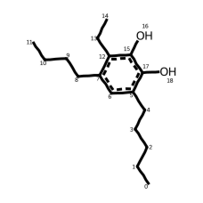 CCCCCc1cc(CCCC)c(CC)c(O)c1O